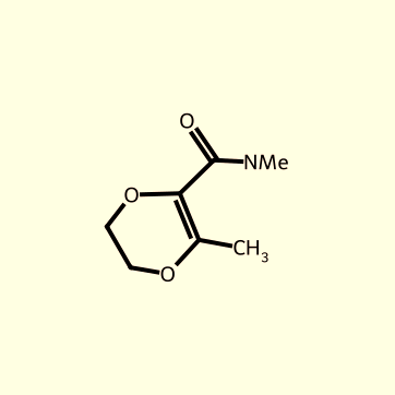 CNC(=O)C1=C(C)OCCO1